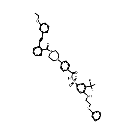 CCOc1cccc(C#Cc2ccccc2C(=O)N2CCN(c3ccc(C(=O)NS(=O)(=O)c4ccc(NCCSc5ccccc5)c(C(F)(F)F)c4)cc3)CC2)c1